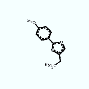 CCOC(=O)Cc1coc(-c2ccc(OC)cc2)n1